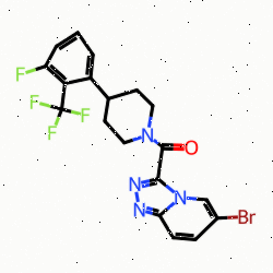 O=C(c1nnc2ccc(Br)cn12)N1CCC(c2cccc(F)c2C(F)(F)F)CC1